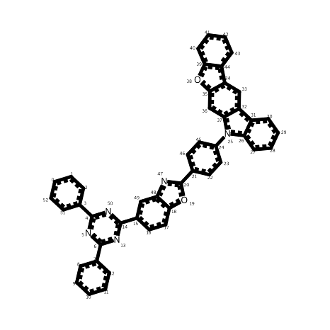 c1ccc(-c2nc(-c3ccccc3)nc(-c3ccc4oc(-c5ccc(-n6c7ccccc7c7cc8c(cc76)oc6ccccc68)cc5)nc4c3)n2)cc1